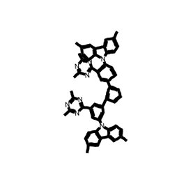 Cc1ccc2c(c1)c1cc(C)ccc1n2-c1cc(-c2cccc(-c3ccc(-n4c5ccc(C)cc5c5cc(C)ccc54)c(-c4nc(C)nc(C)n4)c3)c2)cc(-c2nc(C)nc(C)n2)c1